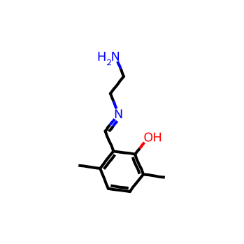 Cc1ccc(C)c(C=NCCN)c1O